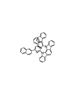 c1ccc2cc(-c3cc(-c4ccc5ccccc5c4)nc(-n4c5ccccc5c5ccc6c7ccccc7n(-c7ccc8ccccc8c7)c6c54)n3)ccc2c1